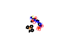 C=CC[P+](c1ccccc1)(c1ccccc1)c1ccccc1.CC(C)(C)OC(=O)N(C(=O)c1cncs1)c1ccn(C2=CC3CN(C2)C(=O)N3OS(=O)(=O)[O-])n1